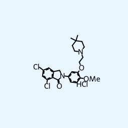 COc1ccc(N2Cc3cc(Cl)cc(Cl)c3C2=O)cc1OCCN1CCC(C)(C)CC1.Cl